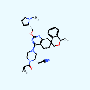 C=CC(=O)N1CCN(c2nc(OC[C@@H]3CCCN3C)nc3c2CCC2(COC(C)c4ccccc42)C3)C[C@@H]1CC#N